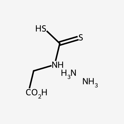 N.N.O=C(O)CNC(=S)S